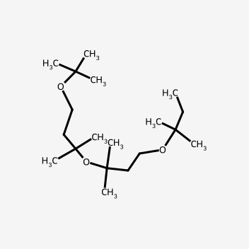 CCC(C)(C)OCCC(C)(C)OC(C)(C)CCOC(C)(C)C